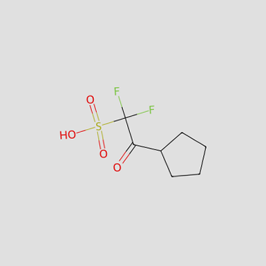 O=C(C1CCCC1)C(F)(F)S(=O)(=O)O